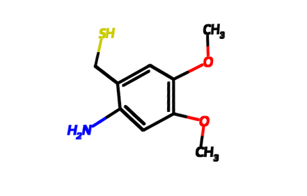 COc1cc(N)c(CS)cc1OC